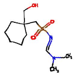 CN(C)C=NS(=O)(=O)CC1(CO)CCCCC1